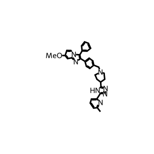 COc1ccn2c(-c3ccccc3)c(-c3ccc(CN4CCC(c5nnc(-c6cccc(C)n6)[nH]5)CC4)cc3)nc2c1